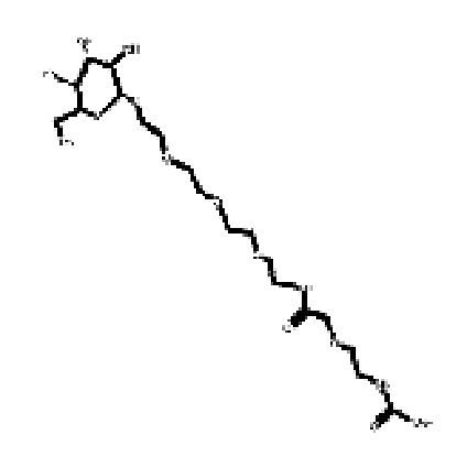 CCCCCCCCCCC(=O)NCCOCC(=O)NCCOCCOCCOCCO[C@H]1OC(CO)[C@@H](O)[C@H](O)C1O